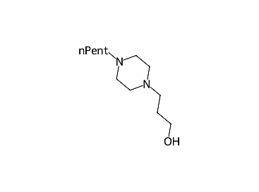 CCCCCN1CCN(CCCO)CC1